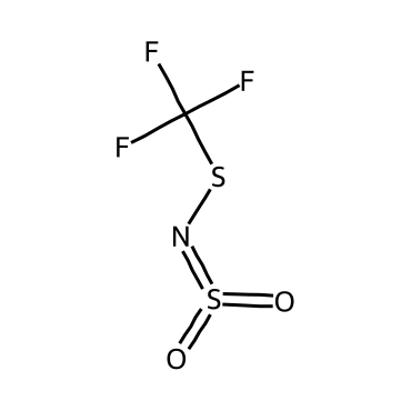 O=S(=O)=NSC(F)(F)F